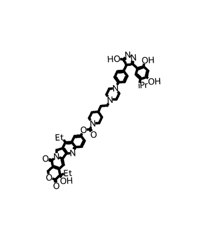 CCc1c2c(nc3ccc(OC(=O)N4CCC(CCN5CCN(c6ccc(C7C(O)=NN=C7c7cc(C(C)C)c(O)cc7O)cc6)CC5)CC4)cc13)-c1cc3c(c(=O)n1C2)COC(=O)C3(O)CC